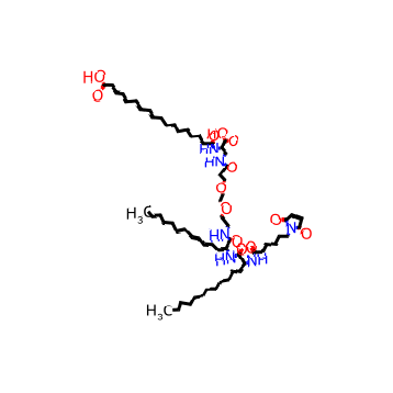 CCCCCCCCCCCCC(NC(=O)CCCCCN1C(=O)C=CC1=O)C(=O)NC(CCCCCCCCCCCC)C(=O)NCCOCCOCCC(=O)NCC(NC(=O)CCCCCCCCCCCCCCCCC(=O)O)C(=O)O